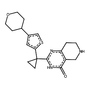 O=c1[nH]c(C2(c3cc(C4CCOCC4)cs3)CC2)nc2c1CNCC2